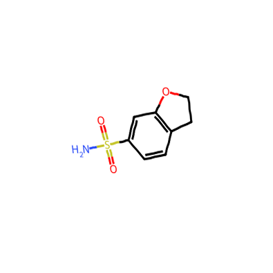 NS(=O)(=O)c1ccc2c(c1)OCC2